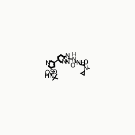 CN(C(=O)CNC(=O)Nc1nc2ccc(-c3cncc(S(=O)(=O)NC(C)(C)C)c3)cn2n1)C1CC1